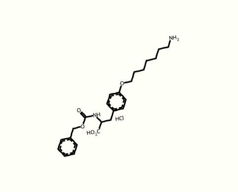 Cl.NCCCCCCCOc1ccc(CC(NC(=O)OCc2ccccc2)C(=O)O)cc1